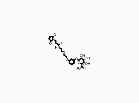 O=C(CCN1C(=O)C=CC1=O)NCCOCCOc1cccc(O[C@@H]2O[C@H](C(=O)O)[C@@H](O)[C@H](O)[C@H]2O)c1